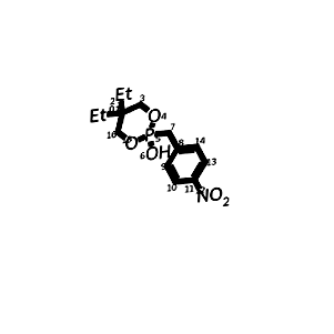 CCC1(CC)CO[P](O)(Cc2ccc([N+](=O)[O-])cc2)OC1